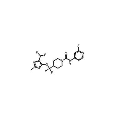 Cn1cc(S[C@@](C)(F)C2CCN(C(=O)Nc3ccnc(F)c3)CC2)c(C(F)F)n1